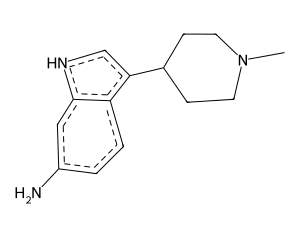 CN1CCC(c2c[nH]c3cc(N)ccc23)CC1